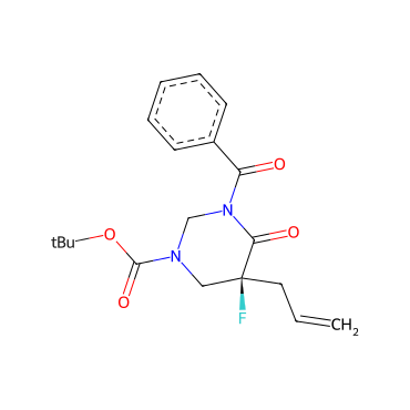 C=CC[C@]1(F)CN(C(=O)OC(C)(C)C)CN(C(=O)c2ccccc2)C1=O